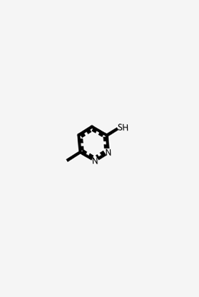 Cc1ccc(S)nn1